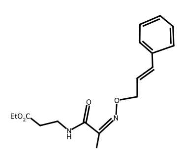 CCOC(=O)CCNC(=O)C(C)=NOCC=Cc1ccccc1